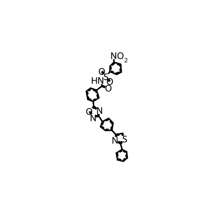 O=C(NS(=O)(=O)c1cccc([N+](=O)[O-])c1)c1cccc(-c2nc(-c3ccc(-c4csc(-c5ccccc5)n4)cc3)no2)c1